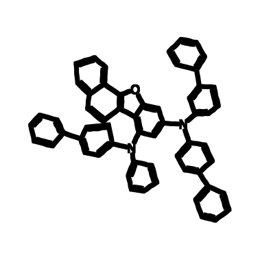 c1ccc(-c2ccc(N(c3cccc(-c4ccccc4)c3)c3cc(N(c4ccccc4)c4ccc(-c5ccccc5)cc4)c4c(c3)oc3c5ccccc5ccc34)cc2)cc1